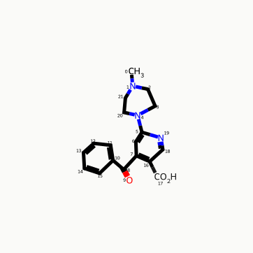 CN1CCN(c2cc(C(=O)c3ccccc3)c(C(=O)O)cn2)CC1